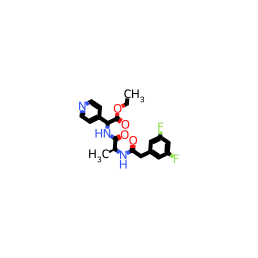 CCOC(=O)C(NC(=O)[C@H](C)NC(=O)Cc1cc(F)cc(F)c1)c1ccncc1